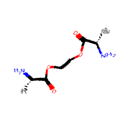 CCCC[C@H](N)C(=O)OC[CH]OC(=O)[C@@H](N)C(C)C